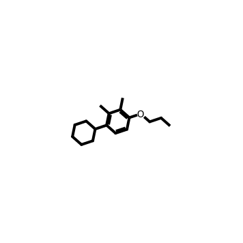 CCCOc1ccc(C2CCCCC2)c(C)c1C